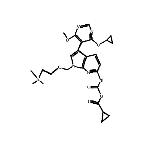 COc1ncnc(OC2CC2)c1-c1cn(COCC[Si](C)(C)C)c2nc(NC(=O)OC(=O)C3CC3)ccc12